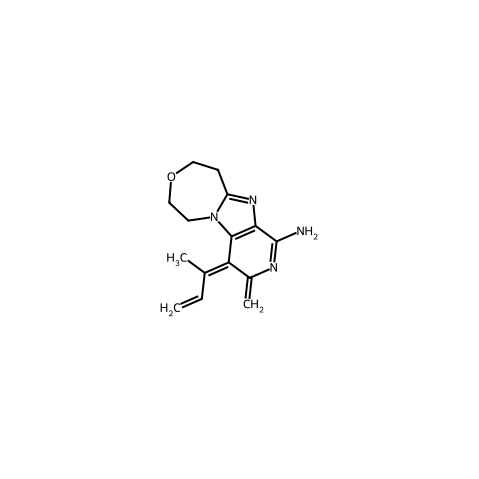 C=C/C(C)=c1\c(=C)nc(N)c2nc3n(c12)CCOCC3